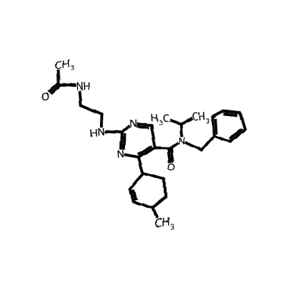 CC(=O)NCCNc1ncc(C(=O)N(Cc2ccccc2)C(C)C)c(C2C=CC(C)CC2)n1